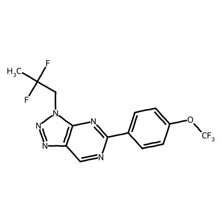 CC(F)(F)Cn1nnc2cnc(-c3ccc(OC(F)(F)F)cc3)nc21